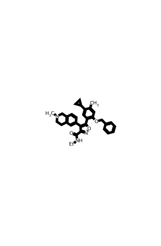 CCNC(=O)c1noc(-c2cc(C3CC3)c(C)cc2OCc2ccccc2)c1-c1ccc2c(c1)CCN(C)C2